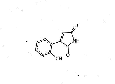 N#Cc1ccccc1C1=CC(=O)NC1=O